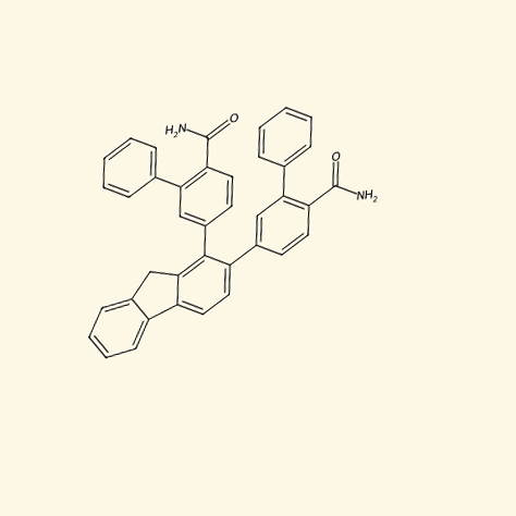 NC(=O)c1ccc(-c2ccc3c(c2-c2ccc(C(N)=O)c(-c4ccccc4)c2)Cc2ccccc2-3)cc1-c1ccccc1